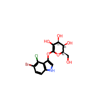 OC[C@H]1OC(Oc2c[nH]c3ccc(Br)c(Cl)c23)=C(O)[C@@H](O)[C@H]1O